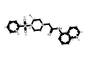 C[C@@H]1CN(CC(=O)Nc2cccc3ncccc23)CCN1S(=O)(=O)c1ccccn1